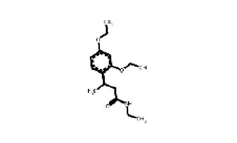 CCNC(=O)CC(C)c1ccc(OCC)cc1OCC